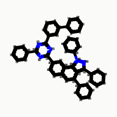 c1ccc(-c2cccc(-c3nc(-c4ccccc4)nc(-c4ccc5cc(-c6ccccc6)c6c(-c7ccccc7)nn(-c7ccccc7)c6c5c4)n3)c2)cc1